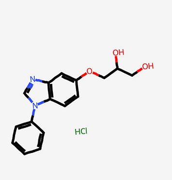 Cl.OCC(O)COc1ccc2c(c1)ncn2-c1ccccc1